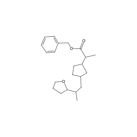 CC(CC1CCC(C(C)C(=O)OCc2ccccc2)C1)C1CCCO1